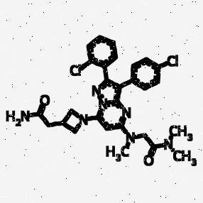 CN(C)C(=O)CN(C)c1cc(N2CC(CC(N)=O)C2)n2nc(-c3ccccc3Cl)c(-c3ccc(Cl)cc3)c2n1